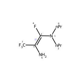 CCCN(CCC)/C(F)=C(\N)C(F)(F)F